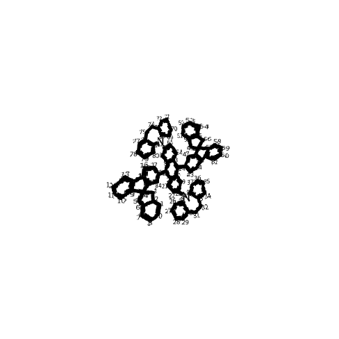 C1=CC2CC3(CC2C=C1)c1ccccc1-c1ccc(-c2c4ccc(N5c6ccccc6CCc6ccccc65)cc4c(-c4ccc5c(c4)C4(Cc6ccccc6C4)c4ccccc4-5)c4ccc(N5c6ccccc6CCc6ccccc65)cc24)cc13